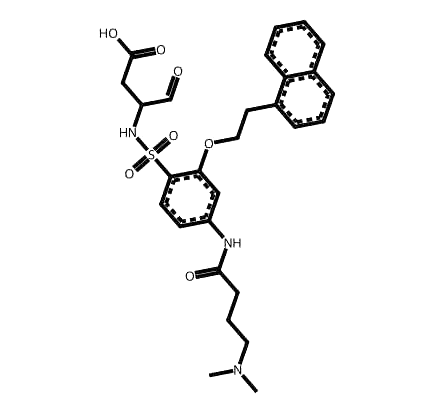 CN(C)CCCC(=O)Nc1ccc(S(=O)(=O)NC(C=O)CC(=O)O)c(OCCc2cccc3ccccc23)c1